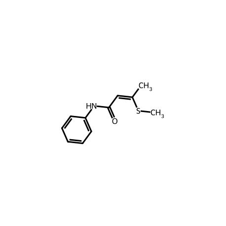 CS/C(C)=C\C(=O)Nc1ccccc1